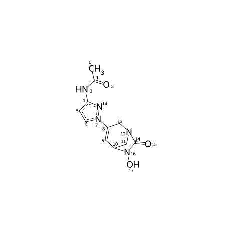 CC(=O)Nc1ccn(C2=CC3CN(C2)C(=O)N3O)n1